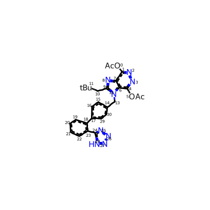 CC(=O)Oc1nnc(OC(C)=O)c2c1nc(CC(C)(C)C)n2Cc1ccc(-c2ccccc2-c2nnn[nH]2)cc1